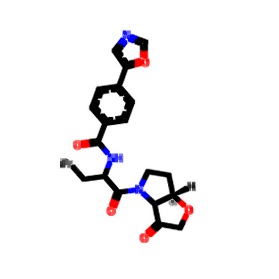 CC(C)CC(NC(=O)c1ccc(-c2cnco2)cc1)C(=O)N1CC[C@@H]2OCC(=O)C21